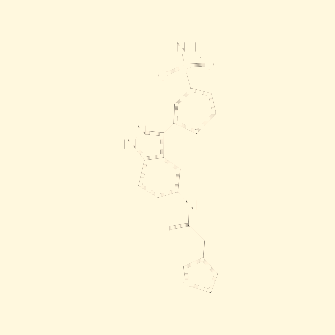 NS(=O)(=O)c1cccc(-c2n[nH]c3ccc(NC(=O)Cc4ccsc4)cc23)c1